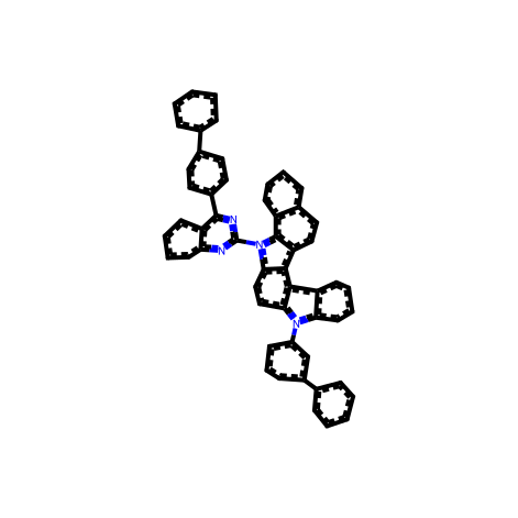 c1ccc(-c2ccc(-c3nc(-n4c5ccc6c(c7ccccc7n6-c6cccc(-c7ccccc7)c6)c5c5ccc6ccccc6c54)nc4ccccc34)cc2)cc1